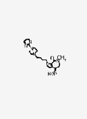 CN1CC/C(=N/O)c2ccn(CCCCN3CCN(c4ncccn4)CC3)c2C1=O